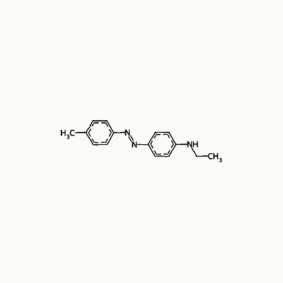 CCNc1ccc(N=Nc2ccc(C)cc2)cc1